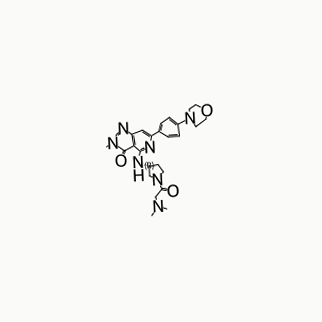 CN(C)CC(=O)N1CC[C@@H](Nc2nc(-c3ccc(N4CCOCC4)cc3)cc3ncn(C)c(=O)c23)C1